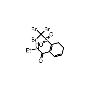 CCNC(=O)C1=C(S(=O)(=O)C(Br)(Br)Br)CCC=C1